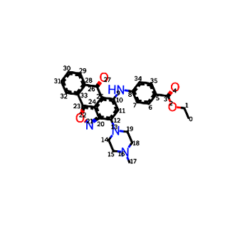 CCOC(=O)c1ccc(Nc2cc(N3CCN(C)CC3)c3noc4c3c2C(=O)c2ccccc2-4)cc1